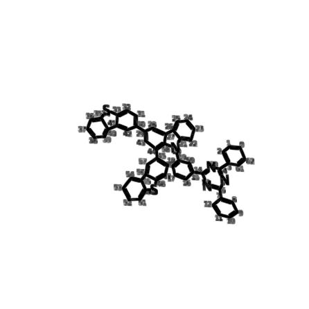 c1ccc(-c2nc(-c3ccccc3)nc(-c3cccc(-n4c5ccccc5c5cc(-c6ccc7sc8ccccc8c7c6)cc(-c6ccc7sc8ccccc8c7c6)c54)c3)n2)cc1